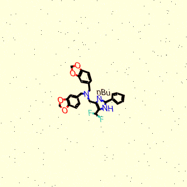 CCCCN1C(CN(Cc2ccc3c(c2)OCO3)Cc2ccc3c(c2)OCO3)=C(C(F)F)NC1c1ccccc1